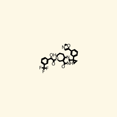 O=C([C@H](O)c1cccc(C(F)(F)F)c1)N1CCCc2nc(C3(c4cccc(-c5cnco5)c4)CC3)[nH]c(=O)c2C1